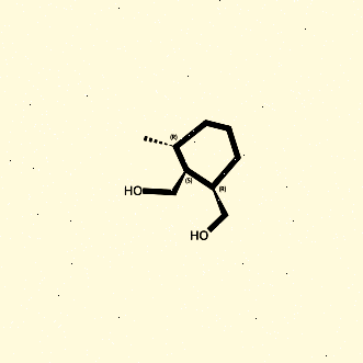 C[C@@H]1CCC[C@@H](CO)[C@H]1CO